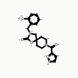 O=C1OC2(CCN(C(=O)c3ccno3)CC2)CN1Cc1ccccc1C(F)(F)F